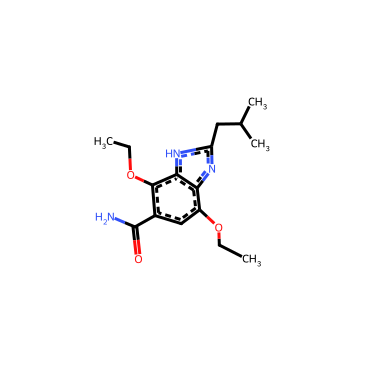 CCOc1cc(C(N)=O)c(OCC)c2[nH]c(CC(C)C)nc12